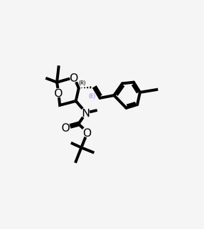 Cc1ccc(/C=C/[C@H]2OC(C)(C)OCC2N(C)C(=O)OC(C)(C)C)cc1